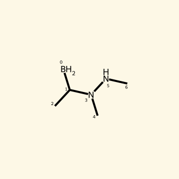 BC(C)N(C)NC